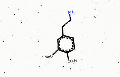 COc1cc(CCN)ccc1C(=O)O